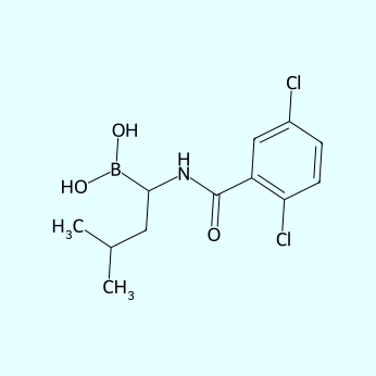 CC(C)CC(NC(=O)c1cc(Cl)ccc1Cl)B(O)O